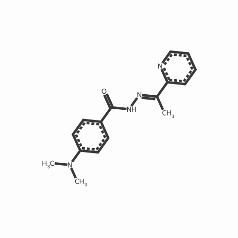 C/C(=N\NC(=O)c1ccc(N(C)C)cc1)c1ccccn1